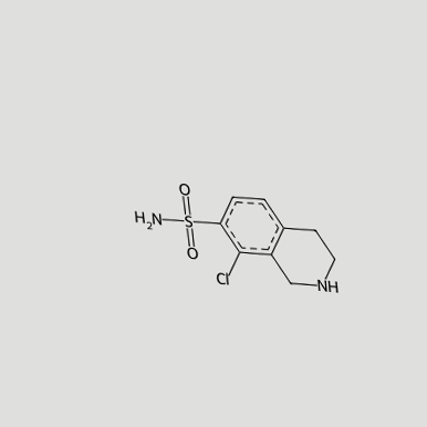 NS(=O)(=O)c1ccc2c(c1Cl)CNCC2